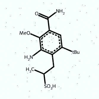 COc1c(C(N)=O)cc(C(C)(C)C)c(CC(C)S(=O)(=O)O)c1N